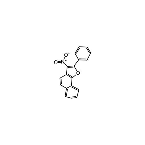 O=[N+]([O-])c1c(-c2ccccc2)oc2c1ccc1ccccc12